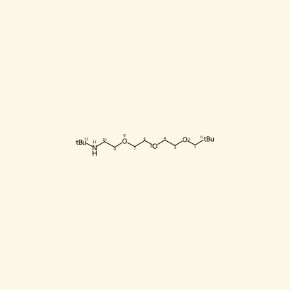 CC(C)(C)COCCOCCOCCNC(C)(C)C